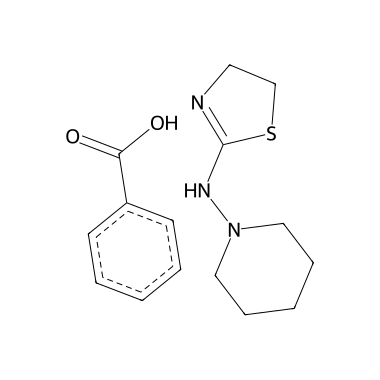 C1CCN(NC2=NCCS2)CC1.O=C(O)c1ccccc1